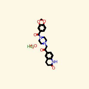 Cl.O.O=C1CCc2cc(C(=O)CN3CCN(C(=O)c4ccc5c(c4)OCO5)CC3)ccc2N1